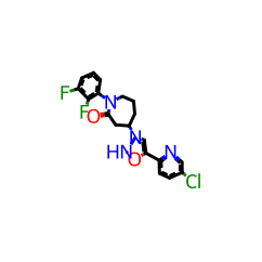 O=C1CC(N2C=C(c3ccc(Cl)cn3)ON2)CCCN1c1cccc(F)c1F